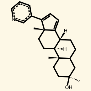 C[C@]1(O)CC[C@@]2(C)C(CC[C@H]3C4=CC=C(c5cccnc5)[C@@]4(C)CC[C@@H]32)C1